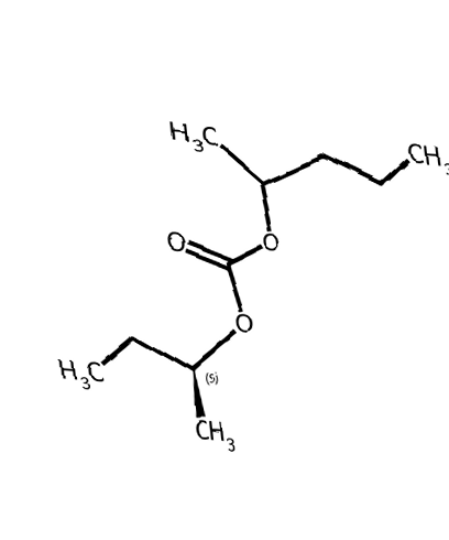 CCCC(C)OC(=O)O[C@@H](C)CC